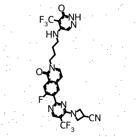 N#CC1CN(c2nc(-c3cc4ccn(CCCCNc5cn[nH]c(=O)c5C(F)(F)F)c(=O)c4cc3F)ncc2C(F)(F)F)C1